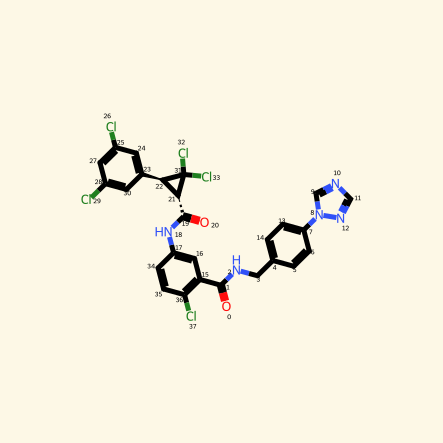 O=C(NCc1ccc(-n2cncn2)cc1)c1cc(NC(=O)[C@@H]2[C@@H](c3cc(Cl)cc(Cl)c3)C2(Cl)Cl)ccc1Cl